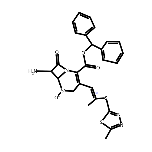 C/C(=C\C1=C(C(=O)OC(c2ccccc2)c2ccccc2)N2C(=O)C(N)C2[S+]([O-])C1)Sc1nnc(C)s1